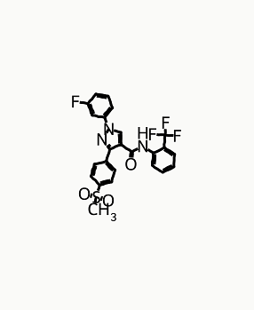 CS(=O)(=O)c1ccc(-c2nn(-c3cccc(F)c3)cc2C(=O)Nc2ccccc2C(F)(F)F)cc1